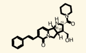 O=C([C@H]1N[C@H]2c3ccc(C=Cc4ccccc4)c(=O)n3C[C@H]2[C@@H]1CO)N1CCCCC1